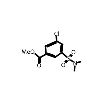 COC(=O)c1cc(Cl)cc(S(=O)(=O)N(C)C)c1